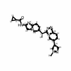 C[C@@H](c1ccc2nc(NC(=O)C3CC3)cn2n1)c1nnc2ccc(-c3cnn(C)c3)cn12